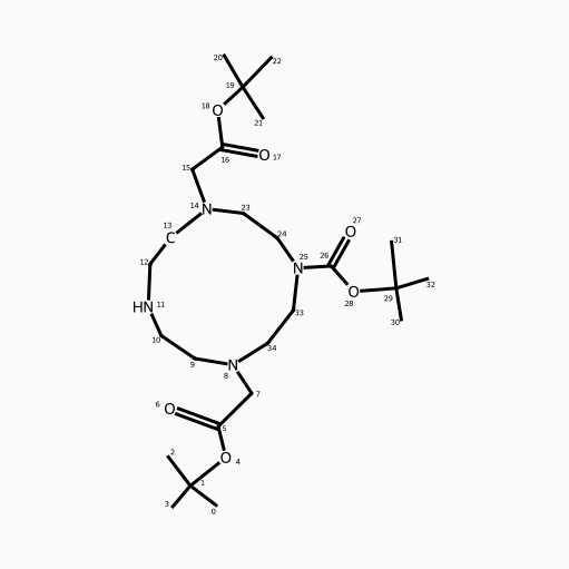 CC(C)(C)OC(=O)CN1CCNCCN(CC(=O)OC(C)(C)C)CCN(C(=O)OC(C)(C)C)CC1